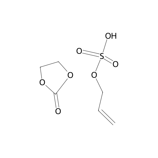 C=CCOS(=O)(=O)O.O=C1OCCO1